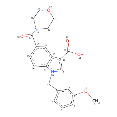 COc1cccc(Cn2cc(C(=O)O)c3cc(C(=O)N4CCOCC4)ccc32)c1